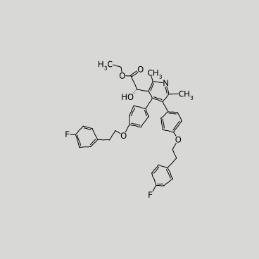 CCOC(=O)[C@@H](O)c1c(C)nc(C)c(-c2ccc(OCCc3ccc(F)cc3)cc2)c1-c1ccc(OCCc2ccc(F)cc2)cc1